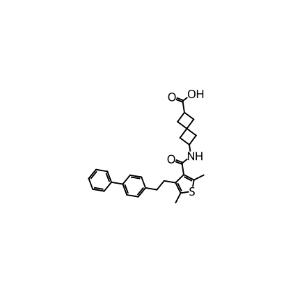 Cc1sc(C)c(C(=O)NC2CC3(C2)CC(C(=O)O)C3)c1CCc1ccc(-c2ccccc2)cc1